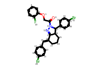 O=C(COc1ccccc1F)N1N=C2/C(=C/c3ccc(Br)cc3)CCCC2C1c1ccc(Br)cc1